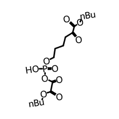 CCCCOC(=O)C(=O)CCCCOP(=O)(O)OC(=O)C(=O)OCCCC